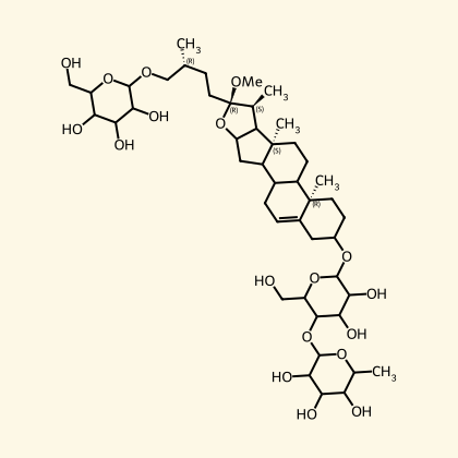 CO[C@]1(CC[C@@H](C)COC2OC(CO)C(O)C(O)C2O)OC2CC3C4CC=C5CC(OC6OC(CO)C(OC7OC(C)C(O)C(O)C7O)C(O)C6O)CC[C@]5(C)C4CC[C@]3(C)C2[C@@H]1C